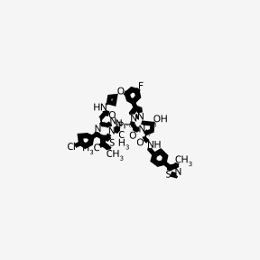 Cc1ncsc1-c1ccc(CNC(=O)[C@@H]2C[C@@H](O)CN2C(=O)[C@H](C(C)C)n2cc(-c3cc(F)cc(O[C@H]4C[C@H](NC(=O)C[C@@H]5N=C(c6ccc(Cl)cc6)c6c(sc(C)c6C)-n6c(C)nnc65)C4)c3)cn2)cc1